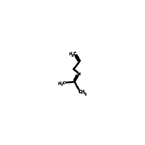 C=CCN=C(C)C